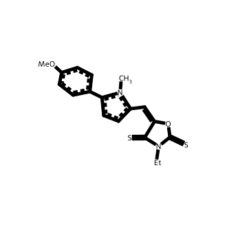 CCN1C(=S)OC(=Cc2ccc(-c3ccc(OC)cc3)n2C)C1=S